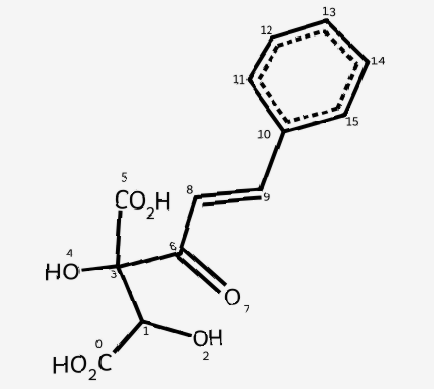 O=C(O)C(O)C(O)(C(=O)O)C(=O)C=Cc1ccccc1